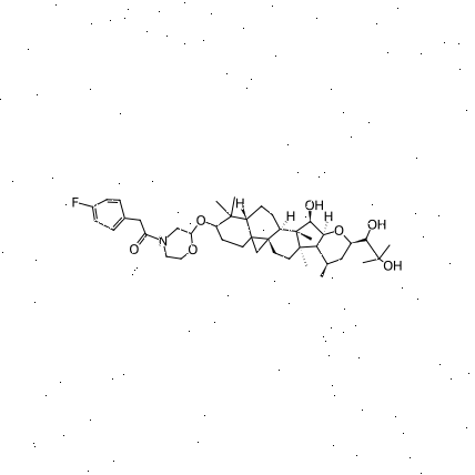 C[C@@H]1C[C@H](C(O)C(C)(C)O)O[C@H]2C1[C@@]1(C)CC[C@@]34CC35CCC(OC3CN(C(=O)Cc6ccc(F)cc6)CCO3)C(C)(C)[C@@H]5CC[C@H]4[C@]1(C)[C@H]2O